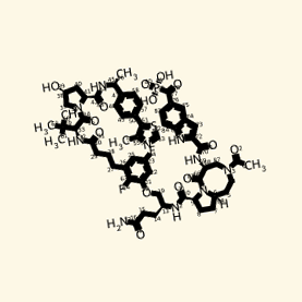 CC(=O)N1CC[C@H]2CC[C@@H](C(=O)N[C@@H](CCC(N)=O)COc3cc(F)cc(CCCC(=O)N[C@H](C(=O)N4C[C@H](O)C[C@H]4C(=O)N[C@@H](C)c4ccc(-c5scnc5C)cc4)C(C)(C)C)c3F)N2C(=O)[C@@H](NC(=O)c2cc3cc(C(=O)P(=O)(O)O)ccc3[nH]2)C1